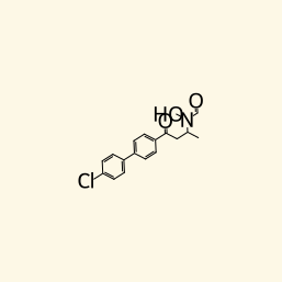 CC(CC(=O)c1ccc(-c2ccc(Cl)cc2)cc1)N(O)C=O